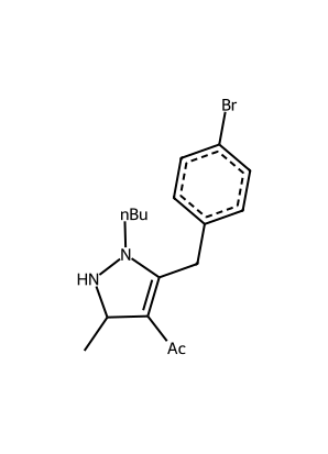 CCCCN1NC(C)C(C(C)=O)=C1Cc1ccc(Br)cc1